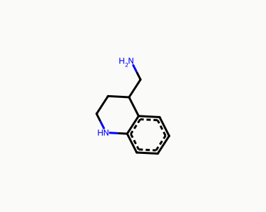 NCC1CCNc2ccccc21